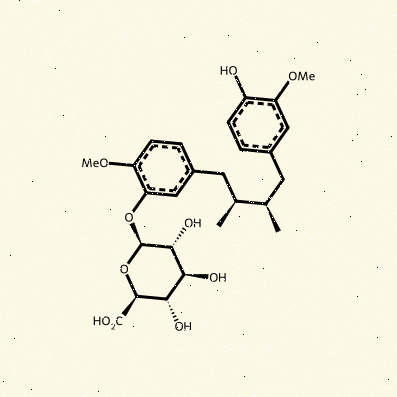 COc1cc(C[C@@H](C)[C@@H](C)Cc2ccc(OC)c(O[C@@H]3O[C@H](C(=O)O)[C@@H](O)[C@H](O)[C@H]3O)c2)ccc1O